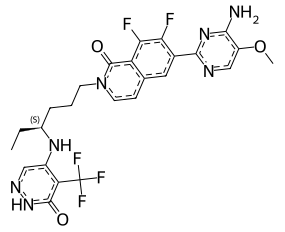 CC[C@@H](CCCn1ccc2cc(-c3ncc(OC)c(N)n3)c(F)c(F)c2c1=O)Nc1cn[nH]c(=O)c1C(F)(F)F